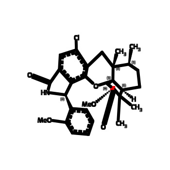 COc1ccccc1[C@H]1NC(=O)c2cc(Cl)c3c(c21)O[C@@]12C[C@@H](OC)C(=O)C(C)(C)[C@@H]1CC[C@H](C)[C@@]2(C)C3